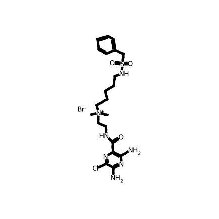 C[N+](C)(CCCCCNS(=O)(=O)Cc1ccccc1)CCNC(=O)c1nc(Cl)c(N)nc1N.[Br-]